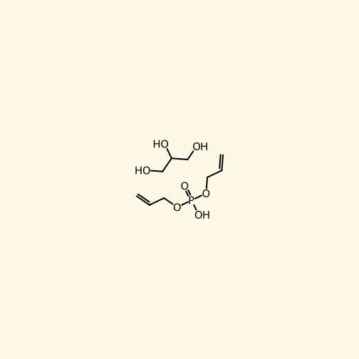 C=CCOP(=O)(O)OCC=C.OCC(O)CO